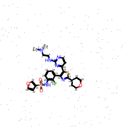 CCN(CC)CCNc1nccc(-c2sc(C3CCOCC3)nc2-c2cccc(NS(=O)(=O)c3ccoc3)c2F)n1